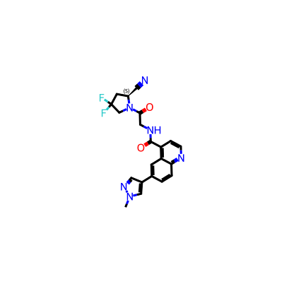 Cn1cc(-c2ccc3nccc(C(=O)NCC(=O)N4CC(F)(F)C[C@H]4C#N)c3c2)cn1